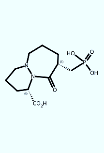 O=C(O)[C@@H]1CCCN2CCC[C@H](CP(=O)(O)O)C(=O)N12